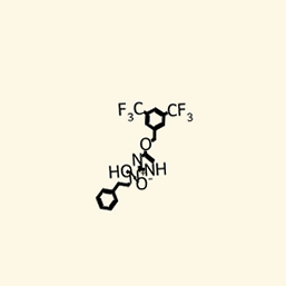 [O-][N+](O)(CCc1ccccc1)c1nc(OCc2cc(C(F)(F)F)cc(C(F)(F)F)c2)c[nH]1